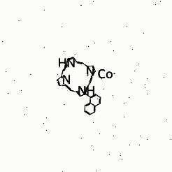 C1=Cc2cc3cc(-c4cccc5ccccc45)c(cc4nc(cc5ccc(cc1n2)[nH]5)C=C4)[nH]3.[Co]